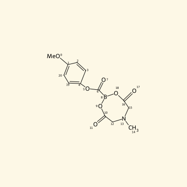 COc1ccc(OC(=O)B2OC(=O)CN(C)CC(=O)O2)cc1